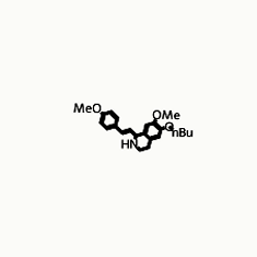 CCCCOc1cc2c(cc1OC)C(/C=C/c1ccc(OC)cc1)NCC2